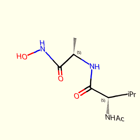 CC(=O)N[C@H](C(=O)N[C@@H](C)C(=O)NO)C(C)C